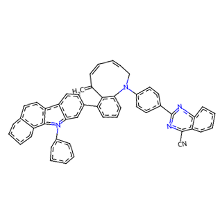 C=C1/C=C\C=C/CN(c2ccc(-c3nc(C#N)c4ccccc4n3)cc2)c2cccc(-c3ccc4c5ccc6ccccc6c5n(-c5ccccc5)c4c3)c21